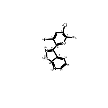 Fc1cc(Cl)c(F)nc1-c1n[nH]c2ncccc12